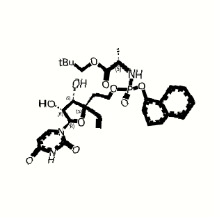 C=C[C@]1(CCOP(=O)(N[C@@H](C)C(=O)OCC(C)(C)C)Oc2cccc3ccccc23)O[C@@H](n2ccc(=O)[nH]c2=O)[C@H](O)[C@@H]1O